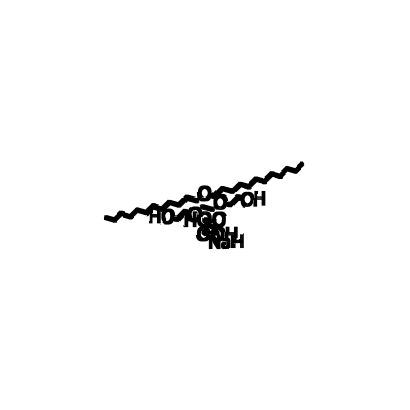 CCCCCCCCCCCCOCCCCCCCCCCCC.O=S(=O)(O)O.OCCOCCOCCO.[NaH]